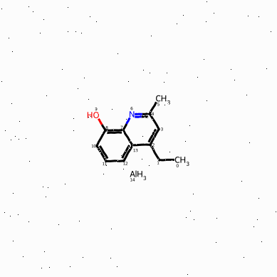 CCc1cc(C)nc2c(O)cccc12.[AlH3]